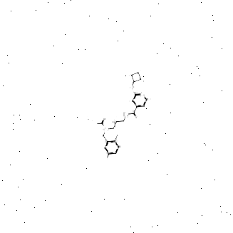 CC(C)(C)OC(=O)N1Cc2cc(O)ccc2C[C@H]1[C@H](O)CNC(=O)c1ccnc(NC2CCC2)c1